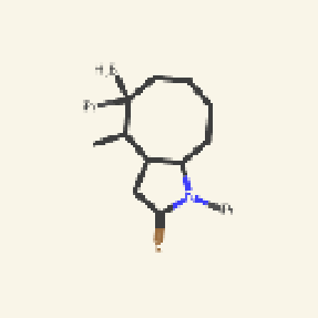 BC1(C(C)C)CCCCC2C(CC(=S)N2C(C)C)C1C